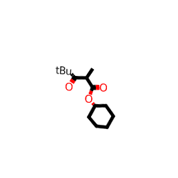 CC(C(=O)OC1CCCCC1)C(=O)C(C)(C)C